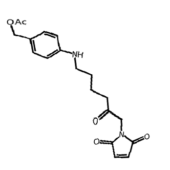 CC(=O)OCc1ccc(NCCCCC(=O)CN2C(=O)C=CC2=O)cc1